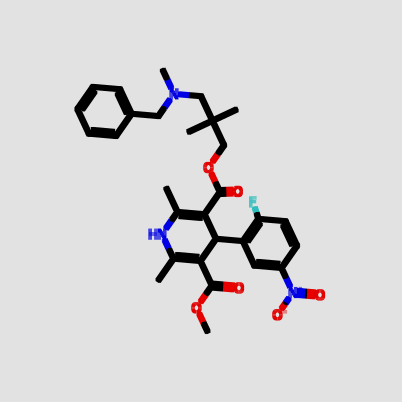 COC(=O)C1=C(C)NC(C)=C(C(=O)OCC(C)(C)CN(C)Cc2ccccc2)C1c1cc([N+](=O)[O-])ccc1F